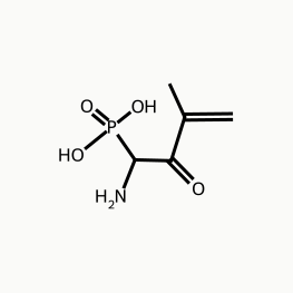 C=C(C)C(=O)C(N)P(=O)(O)O